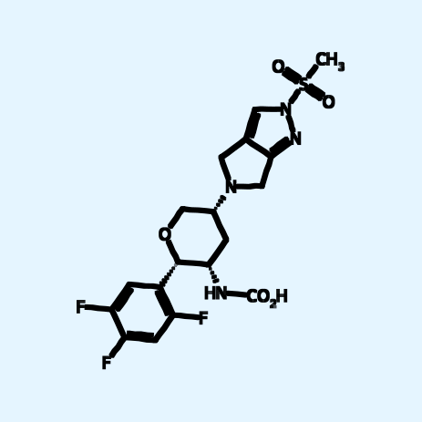 CS(=O)(=O)n1cc2c(n1)CN([C@H]1CO[C@@H](c3cc(F)c(F)cc3F)[C@@H](NC(=O)O)C1)C2